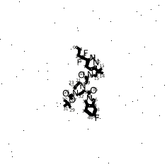 CCCC(F)(F)c1cc2c(nn1)C(C)(C)CN2C(=O)CN1C[C@@H](C)N(C(=O)OC(C)(C)C)C[C@H]1C(=O)N1Cc2ccc(F)cc2C1